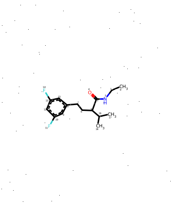 CCNC(=O)C(CCc1cc(F)cc(F)c1)C(C)C